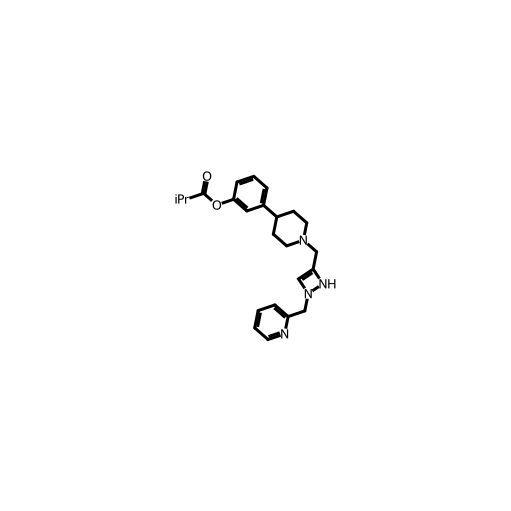 CC(C)C(=O)Oc1cccc(C2CCN(Cc3cn(Cc4ccccn4)[nH]3)CC2)c1